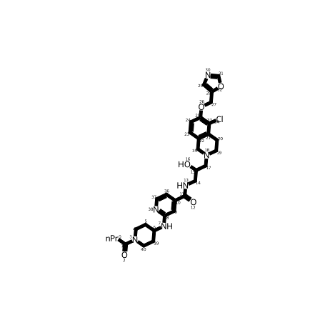 CCCC(=O)N1CCC(Nc2cc(C(=O)NCC(O)CN3CCc4c(ccc(OCc5cnco5)c4Cl)C3)ccn2)CC1